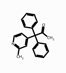 CC(=O)C(c1ccccc1)(c1ccccc1)c1ccnc(C)c1